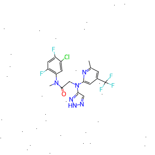 Cc1cc(C(F)(F)F)cc(N(CC(=O)N(C)c2cc(Cl)c(F)cc2F)c2cn[nH]n2)n1